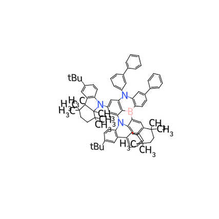 CC(C)(C)c1ccc(N2c3cc4c(cc3B3c5ccc(-c6ccccc6)cc5N(c5cccc(-c6ccccc6)c5)c5cc(N6c7ccc(C(C)(C)C)cc7C7(C)C(C)(C)CCC(C)(C)C67C)cc2c53)C(C)(C)CCC4(C)C)c(-c2ccccc2)c1